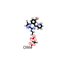 COC(=O)OC(C)(C)OC(=O)OCCC[C@@H]1N=C(c2ccccn2)c2cc(Br)ccc2-n2c(C)cnc21